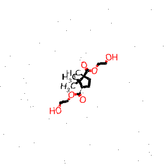 CC1(C)[C@@H](C(=O)OCCO)CC[C@@]1(C)C(=O)OCCO